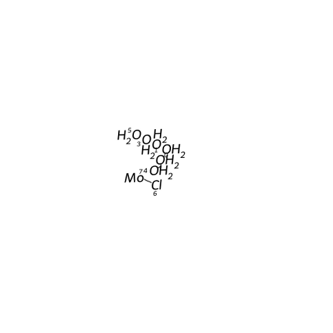 O.O.O.O.O.O.[Cl][Mo]